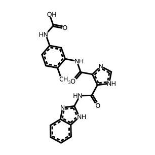 Cc1ccc(NC(=O)O)cc1NC(=O)c1nc[nH]c1C(=O)Nc1nc2ccccc2[nH]1